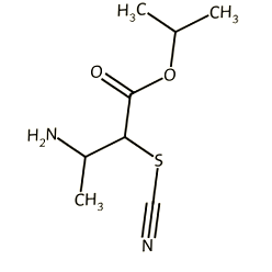 CC(C)OC(=O)C(SC#N)C(C)N